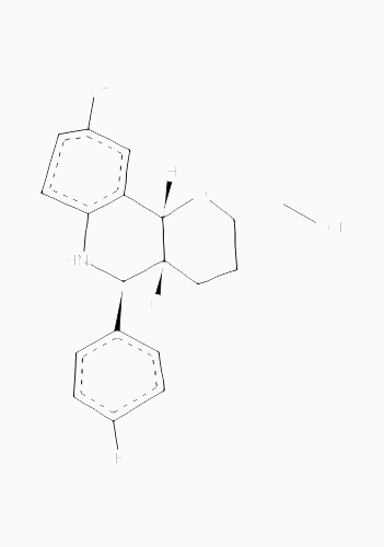 OC[C@@H]1CC[C@@H]2[C@@H](c3ccc(F)cc3)Nc3ccc(C(F)(F)F)cc3[C@@H]2O1